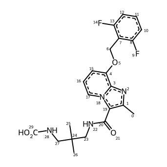 Cc1nc2c(OCc3c(F)cccc3F)cccn2c1C(=O)NCC(C)(C)CNC(=O)O